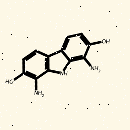 Nc1c(O)ccc2c1[nH]c1c(N)c(O)ccc12